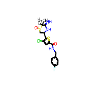 CC1(C)C(=N)NC(c2sc(C(=O)NCc3ccc(F)cc3)cc2Cl)C[S+]1[O-]